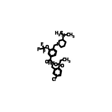 CCS(=O)(=O)c1ccc(Cl)cc1CNC(=O)c1ccc(CN2CCCC(N(C)C)C2)c(OC(F)(F)F)c1